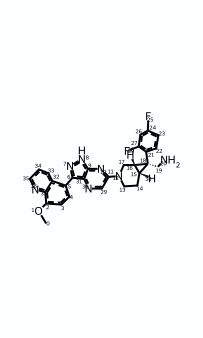 COc1ccc(-c2n[nH]c3nc(N4CC[C@@H]5[C@H](C4)[C@@]5(CN)c4ccc(F)cc4F)cnc23)c2cccnc12